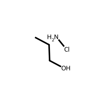 CCCO.NCl